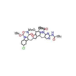 COc1cc(Cc2cnc(NC(=O)C(C)(C)C)nc2NC(=O)C(C)(C)C)c2cc(Cc3c(C(=O)N(C)C)n(C(=O)OC(C)(C)C)c4ccc(Cl)cc34)oc2c1OC